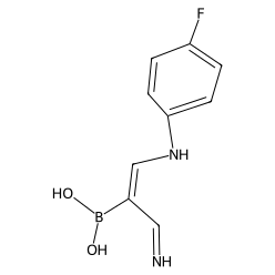 N=C/C(=C\Nc1ccc(F)cc1)B(O)O